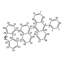 c1ccc(-c2c3ccccc3c(-c3ccc4c5c(cccc35)-c3cccc5sc6cccc-4c6c35)c3ccccc23)cc1